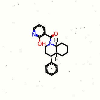 O=C(c1cccnc1O)N1CC[C@H](c2ccccc2)[C@H]2CCCC[C@H]21